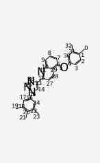 Cc1ccc(Oc2cccc3nc(-c4cn(-c5cc(C)c(C)c(C)c5)nn4)ccc23)cc1C